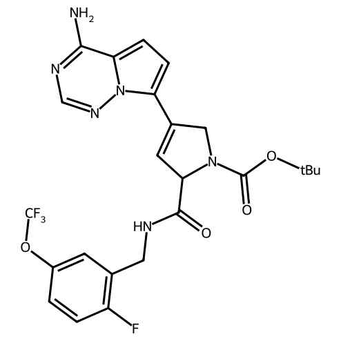 CC(C)(C)OC(=O)N1CC(c2ccc3c(N)ncnn23)=CC1C(=O)NCc1cc(OC(F)(F)F)ccc1F